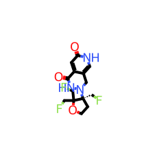 O=C1NN([C@@]2(CF)CCOC2(CF)CF)Cc2c[nH]c(=O)cc21